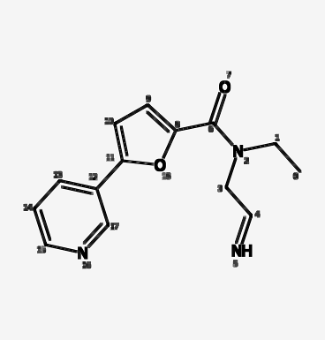 CCN(CC=N)C(=O)c1ccc(-c2cccnc2)o1